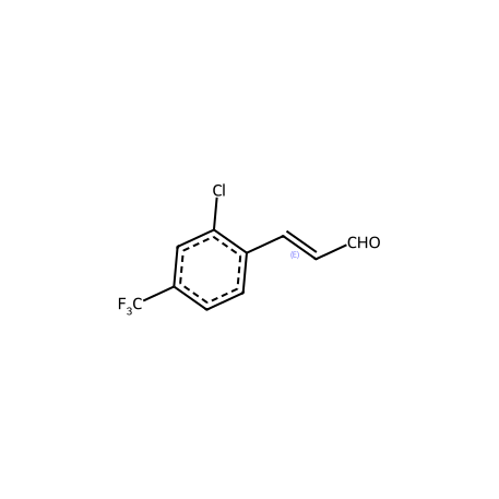 O=C/C=C/c1ccc(C(F)(F)F)cc1Cl